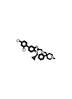 CN1CCC(COCc2nc3cc(-c4ccc(Cl)cc4Cl)ccc3n2CC2CC2)(c2ccccc2)CC1